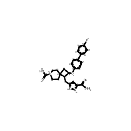 NC(=O)c1cc(CC2C(Oc3ccc(-c4ccc(F)cc4)cc3)CC23CCN(C(=O)O)CC3)on1